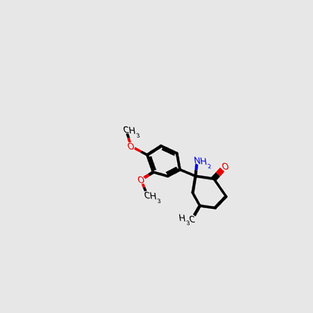 COc1ccc(C2(N)CC(C)CCC2=O)cc1OC